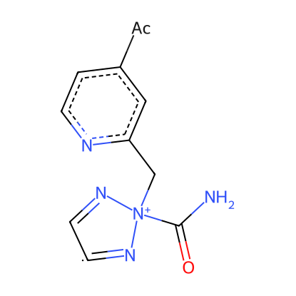 CC(=O)c1ccnc(C[N+]2(C(N)=O)N=[C]C=N2)c1